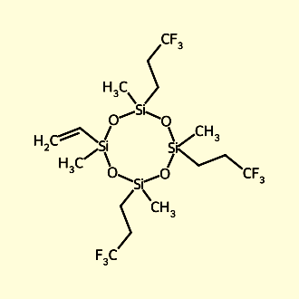 C=C[Si]1(C)O[Si](C)(CCC(F)(F)F)O[Si](C)(CCC(F)(F)F)O[Si](C)(CCC(F)(F)F)O1